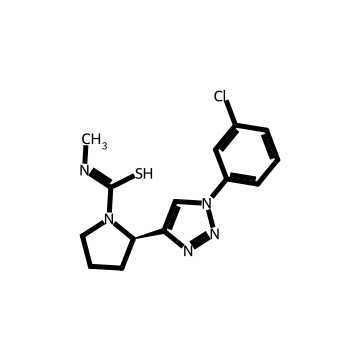 C/N=C(\S)N1CCC[C@@H]1c1cn(-c2cccc(Cl)c2)nn1